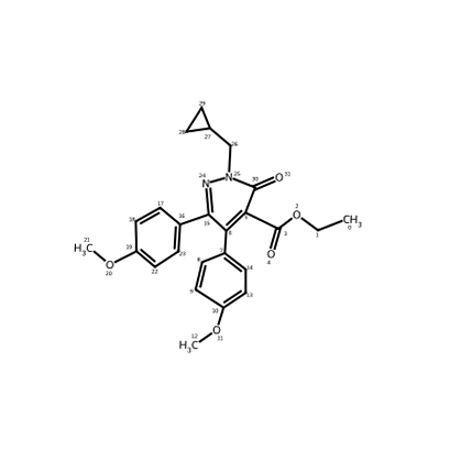 CCOC(=O)c1c(-c2ccc(OC)cc2)c(-c2ccc(OC)cc2)nn(CC2CC2)c1=O